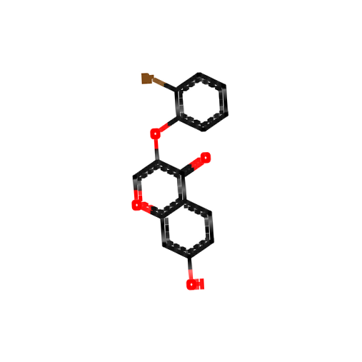 O=c1c(Oc2ccccc2Br)coc2cc(O)ccc12